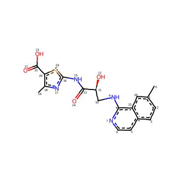 Cc1ccc2ccnc(NC[C@H](O)C(=O)Nc3nc(C)c(C(=O)O)s3)c2c1